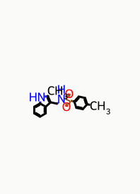 Cc1ccc(S(=O)(=O)NCc2c(C)[nH]c3ccccc23)cc1